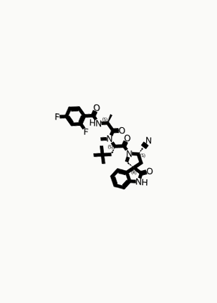 C[C@H](NC(=O)c1ccc(F)cc1F)C(=O)N(C)[C@@H](CC(C)(C)C)C(=O)N1C[C@]2(C[C@H]1C#N)C(=O)Nc1ccccc12